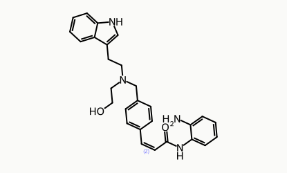 Nc1ccccc1NC(=O)/C=C\c1ccc(CN(CCO)CCc2c[nH]c3ccccc23)cc1